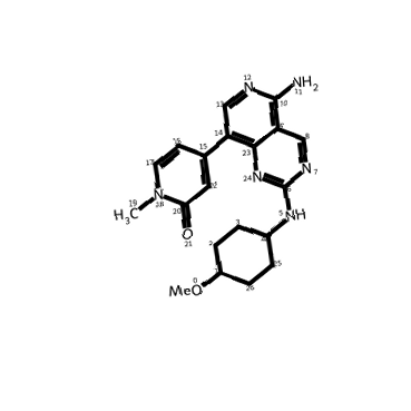 COC1CCC(Nc2ncc3c(N)ncc(-c4ccn(C)c(=O)c4)c3n2)CC1